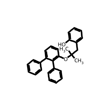 CC(C)(Cc1ccccc1O)Oc1cccc(-c2ccccc2)c1-c1ccccc1